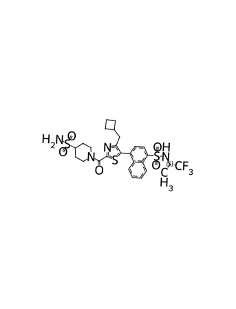 C[C@H](NS(=O)(=O)c1ccc(-c2sc(C(=O)N3CCC(S(N)(=O)=O)CC3)nc2CC2CCC2)c2ccccc12)C(F)(F)F